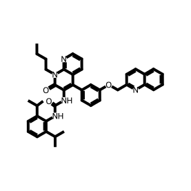 CCCCn1c(=O)c(NC(=O)Nc2c(C(C)C)cccc2C(C)C)c(-c2cccc(OCc3ccc4ccccc4n3)c2)c2cccnc21